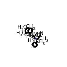 Cc1ccccc1N/C(=C/C(C)(C)C#N)C(=N)Nc1ccc2cc1C(C)(C)CC2(C)C